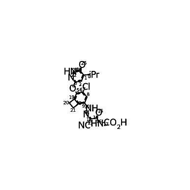 CC(C)c1cc(Oc2c(Cl)cc(NN=C(C#N)C(=O)NC(=O)O)c3c2CC3)n[nH]c1=O